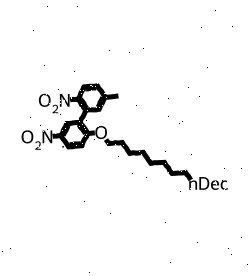 CCCCCCCCCCCCCCCCCCOc1c[c]c([N+](=O)[O-])cc1-c1cc(C)ccc1[N+](=O)[O-]